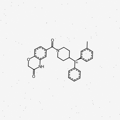 Cc1cccc([C@@H](c2ccccc2)C2CCN(C(=O)c3ccc4c(c3)NC(=O)CO4)CC2)c1